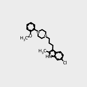 COc1ccccc1N1CCN(CCCc2c(C)[nH]c3cc(Cl)ccc23)CC1